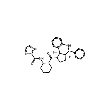 O=C(N[C@@H]1CCCC[C@@H]1C(=O)N1CC[C@@H]2[C@H](c3ccccc3)Nc3ccccc3[C@@H]21)c1ncc[nH]1